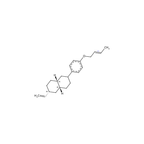 C=C[C@@H]1CC[C@@H]2CC(c3ccc(OC/C=C/C)cc3)CC[C@@H]2C1